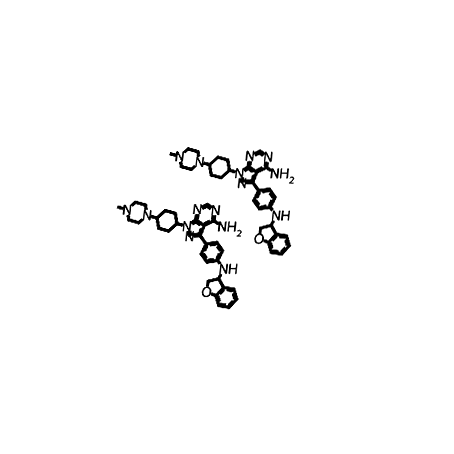 CN1CCN(C2CCC(n3nc(-c4ccc(NC5COc6ccccc65)cc4)c4c(N)ncnc43)CC2)CC1.CN1CCN(C2CCC(n3nc(-c4ccc(NC5COc6ccccc65)cc4)c4c(N)ncnc43)CC2)CC1